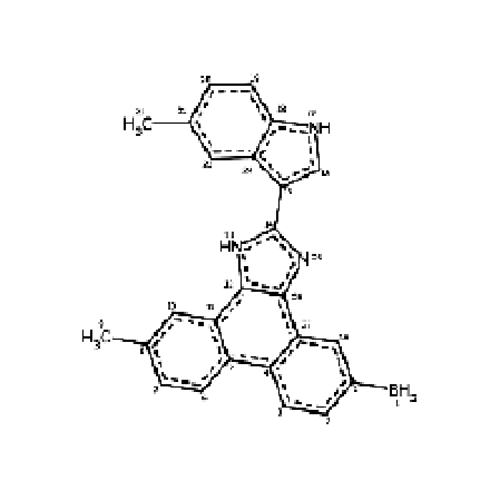 Bc1ccc2c3ccc(C)cc3c3[nH]c(-c4c[nH]c5ccc(C)cc45)nc3c2c1